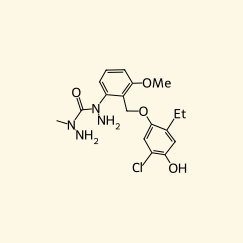 CCc1cc(O)c(Cl)cc1OCc1c(OC)cccc1N(N)C(=O)N(C)N